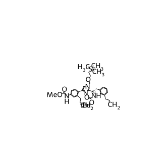 C=CCc1cccc(C[C@H](NC(=O)OC(C)(C)C)c2nc(-c3ccc(NC(=O)OC)cc3CC=C)cn2COCC[Si](C)(C)C)c1